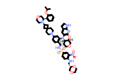 CC(C)Oc1ccccc1[C@@H]1COCCN1C1CC2(CCN(c3ccc(C(=O)NS(=O)(=O)c4ccc(NC[C@H]5COCCO5)c([N+](=O)[O-])c4)c(N4c5cc6cc[nH]c6nc5O[C@H]5COCC[C@@H]54)c3)CC2)C1